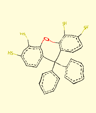 Sc1ccc2c(c1S)Oc1c(ccc(S)c1S)C2(c1ccccc1)c1ccccc1